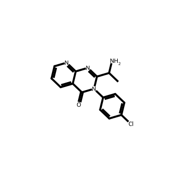 CC(N)c1nc2ncccc2c(=O)n1-c1ccc(Cl)cc1